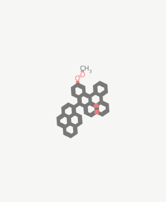 COOc1ccc2c(-c3ccc4ccc5cccc6ccc3c4c56)c3ccccc3c(-c3ccccc3-c3ccccc3)c2c1